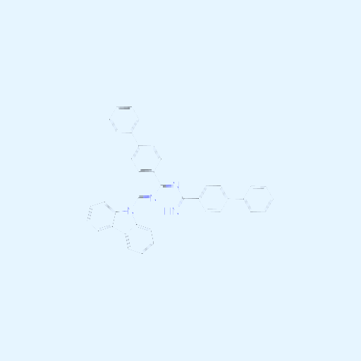 N=C(/N=C(\N=C\n1c2ccccc2c2ccccc21)c1ccc(-c2ccccc2)cc1)c1ccc(-c2ccccc2)cc1